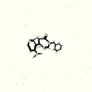 CN(C)c1ccnc2sc3c(=O)n(CC4CCCCC4)cnc3c12